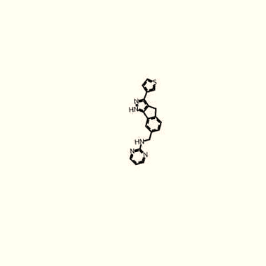 c1cnc(NCc2ccc3c(c2)-c2[nH]nc(-c4ccsc4)c2C3)nc1